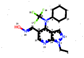 CCn1ncc2c(N(C3CCCCC3)C(F)(F)F)c(C=NO)cnc21